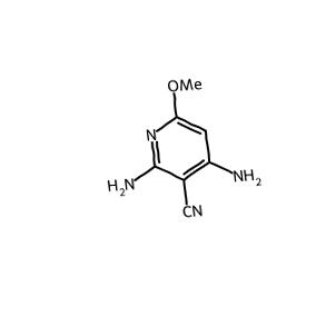 COc1cc(N)c(C#N)c(N)n1